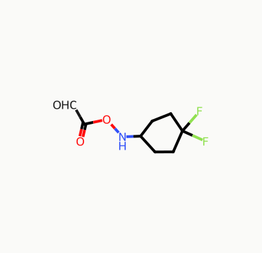 O=CC(=O)ONC1CCC(F)(F)CC1